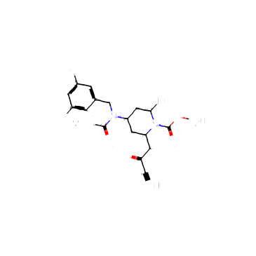 C#CC(=O)CC1CC(N(Cc2cc(C(F)(F)F)cc(C(F)(F)F)c2)C(=O)OC)CC(CC)N1C(=O)OC(C)(C)C